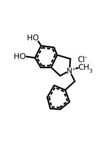 C[N+]1(Cc2ccccc2)Cc2cc(O)c(O)cc2C1.[Cl-]